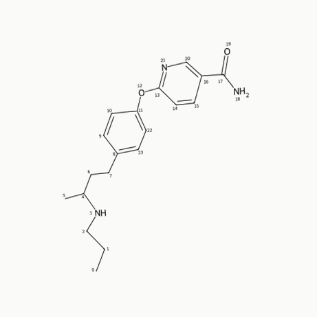 CCCNC(C)CCc1ccc(Oc2ccc(C(N)=O)cn2)cc1